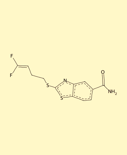 NC(=O)c1ccc2sc(SCCC=C(F)F)nc2c1